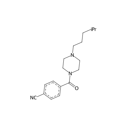 CC(C)CCCN1CCN(C(=O)c2ccc(C#N)cc2)CC1